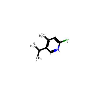 Cc1cc(Br)ncc1C(C)C